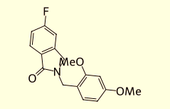 COc1ccc(CN2Cc3cc(F)ccc3C2=O)c(OC)c1